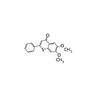 COc1cc2sc(-c3ccccc3)cc(=O)c2cc1OC